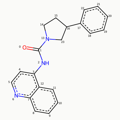 O=C(Nc1ccnc2ccccc12)N1CCC(c2ccccc2)C1